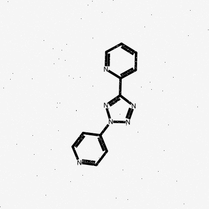 c1ccc(-c2nnn(-c3ccncc3)n2)nc1